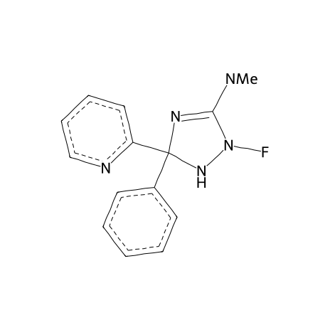 CNC1=NC(c2ccccc2)(c2ccccn2)NN1F